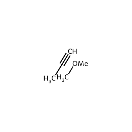 C#CC.COC